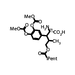 CCCC(C)C(=O)OCC(C)C(c1ccc(OC(=O)OC)c(OC(=O)OC)c1)[C@H](N)C(=O)O